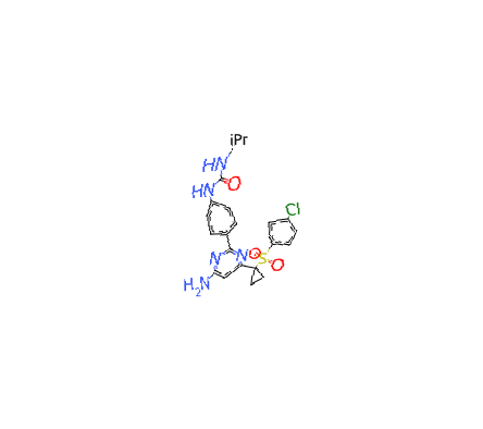 CC(C)CNC(=O)Nc1ccc(-c2nc(N)cc(C3(S(=O)(=O)c4ccc(Cl)cc4)CC3)n2)cc1